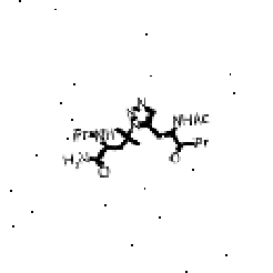 CC(=O)NC(Cc1cnnn1C(C)(C)CC(NC(C)C)C(N)=O)C(=O)C(C)C